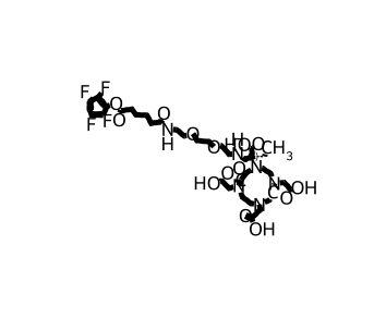 CC[C@@](C(=O)O)(C(=O)NCCOCCOCCNC(=O)CCCCC(=O)Oc1c(F)c(F)cc(F)c1F)N1CCN(CC(=O)O)CCN(CC(=O)O)CCN(CC(=O)O)CC1